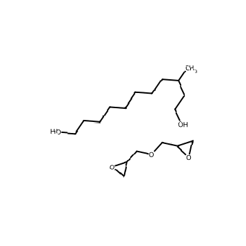 C(OCC1CO1)C1CO1.CC(CCO)CCCCCCCCO